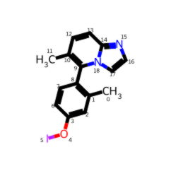 Cc1cc(OI)ccc1-c1c(C)ccc2nccn12